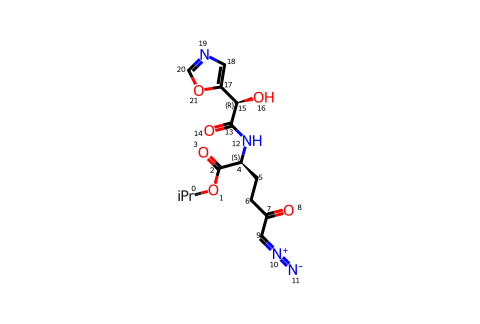 CC(C)OC(=O)[C@H](CCC(=O)C=[N+]=[N-])NC(=O)[C@H](O)c1cnco1